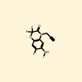 C#CCN1C(=O)C(F)(F)Oc2cc(F)c(NI)cc21